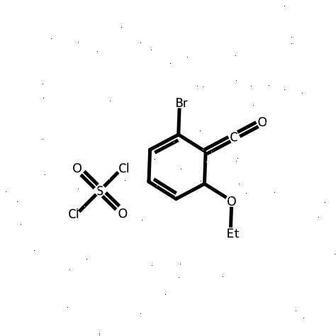 CCOC1C=CC=C(Br)C1=C=O.O=S(=O)(Cl)Cl